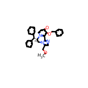 COCc1cnc2n1C[C@H](C(c1ccccc1)c1ccccc1)n1ccc(=O)c(OCc3ccccc3)c1-2